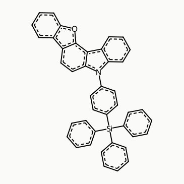 c1ccc([Si](c2ccccc2)(c2ccccc2)c2ccc(-n3c4ccccc4c4c5oc6ccccc6c5ccc43)cc2)cc1